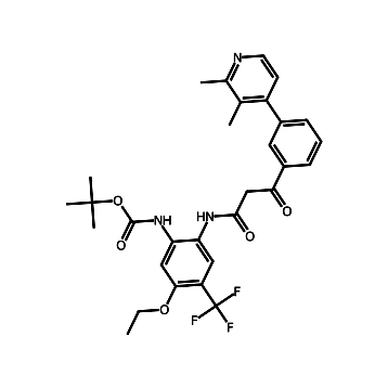 CCOc1cc(NC(=O)OC(C)(C)C)c(NC(=O)CC(=O)c2cccc(-c3ccnc(C)c3C)c2)cc1C(F)(F)F